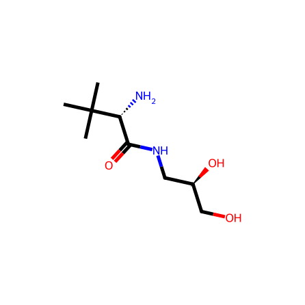 CC(C)(C)[C@H](N)C(=O)NC[C@@H](O)CO